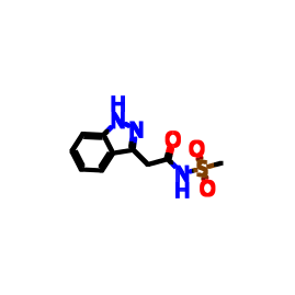 CS(=O)(=O)NC(=O)Cc1n[nH]c2ccccc12